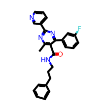 Cc1nc(-c2cccnc2)nc(-c2cccc(F)c2)c1C(=O)NCCCc1ccccc1